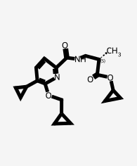 C[C@@H](CNC(=O)c1ccc(C2CC2)c(OCC2CC2)n1)C(=O)OC1CC1